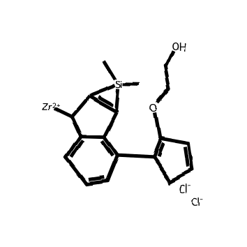 C[Si]1(C)C2=C1[CH]([Zr+2])c1cccc(C3=C(OCCO)C=CC3)c12.[Cl-].[Cl-]